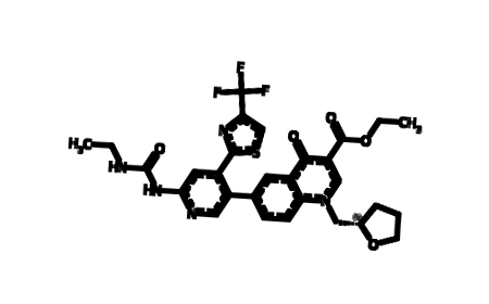 CCNC(=O)Nc1cc(-c2nc(C(F)(F)F)cs2)c(-c2ccc3c(c2)c(=O)c(C(=O)OCC)cn3C[C@@H]2CCCO2)cn1